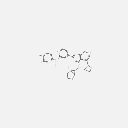 Fc1cc(F)c(Nc2cc(-c3nc(NC4C5CCC[C@H]54)c4c(C5CCC5)cncc4n3)ccn2)nc1F